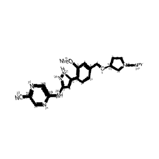 COc1cc(CO[C@H]2CCN(C(C)C)C2)ccc1-c1cc(Nc2cnc(C#N)cn2)n[nH]1